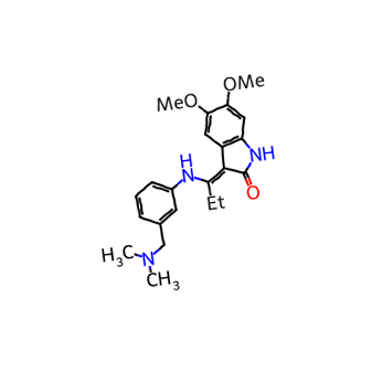 CCC(Nc1cccc(CN(C)C)c1)=C1C(=O)Nc2cc(OC)c(OC)cc21